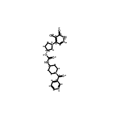 O=C(NC1CCN(C(=O)c2cccnc2)CC1)O[C@@H]1CCN(c2cn[nH]c(=O)c2Cl)C1